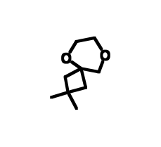 CC1(C)CC2(COCCO2)C1